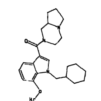 COc1cccc2c(C(=O)N3CCN4CCCC4C3)cn(CC3CCCCC3)c12